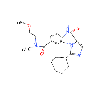 CCCOCCN(C)C(=O)c1ccc2[nH]c(=O)c3cnc(C4CCCCC4)n3c2c1